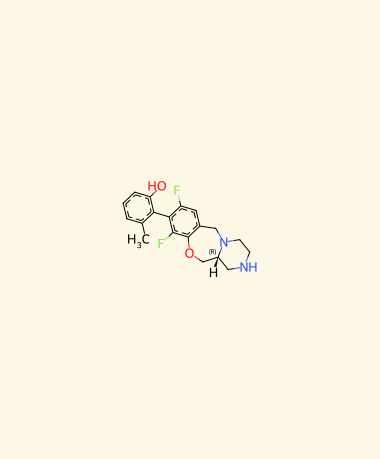 Cc1cccc(O)c1-c1c(F)cc2c(c1F)OC[C@H]1CNCCN1C2